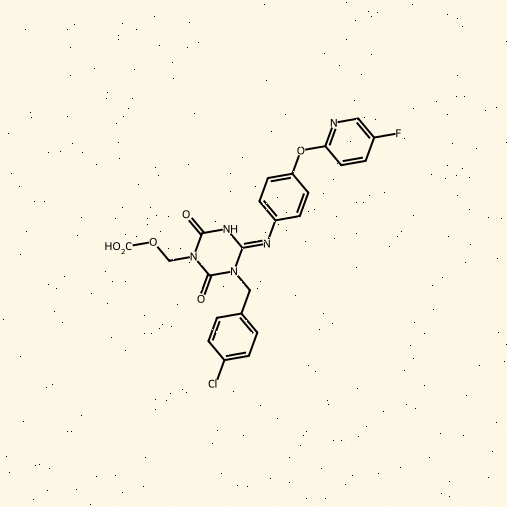 O=C(O)OCn1c(=O)[nH]/c(=N\c2ccc(Oc3ccc(F)cn3)cc2)n(Cc2ccc(Cl)cc2)c1=O